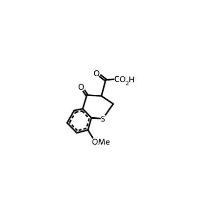 COc1cccc2c1SCC(C(=O)C(=O)O)C2=O